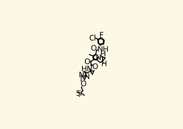 Cc1c(C(=O)C(=O)NC2(c3cnn(COCC[Si](C)(C)C)n3)CC2)c2n(c1C(=O)Nc1ccc(F)c(Cl)c1)[C@@H]1C[C@@H]1C2